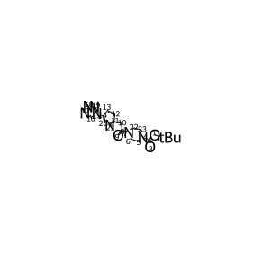 CC(C)(C)OC(=O)N1CCN(C(=O)Cc2ccc(-n3cnnn3)cn2)CC1